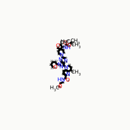 COCCNC(=O)c1ccc2c(n1)[C@@H](C)CCN2c1nn(C2CCCCO2)c2nc(N3CCC4(CC3)CO[C@@H](C)[C@H]4NC(=O)OC(C)(C)C)cnc12